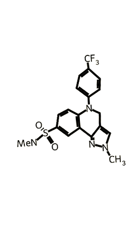 CNS(=O)(=O)c1ccc2c(c1)-c1nn(C)cc1CN2c1ccc(C(F)(F)F)cc1